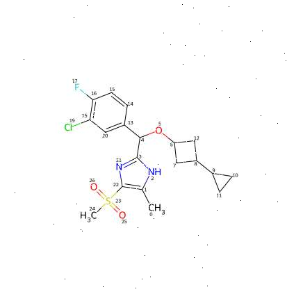 Cc1[nH]c(C(OC2CC(C3CC3)C2)c2ccc(F)c(Cl)c2)nc1S(C)(=O)=O